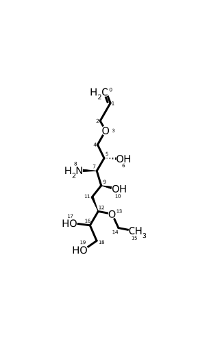 C=CCOC[C@H](O)[C@H](N)[C@@H](O)C[C@@H](OCC)C(O)CO